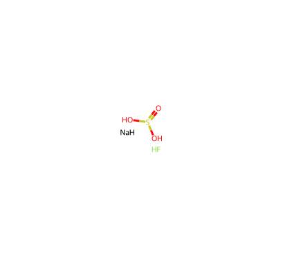 F.O=S(O)O.[NaH]